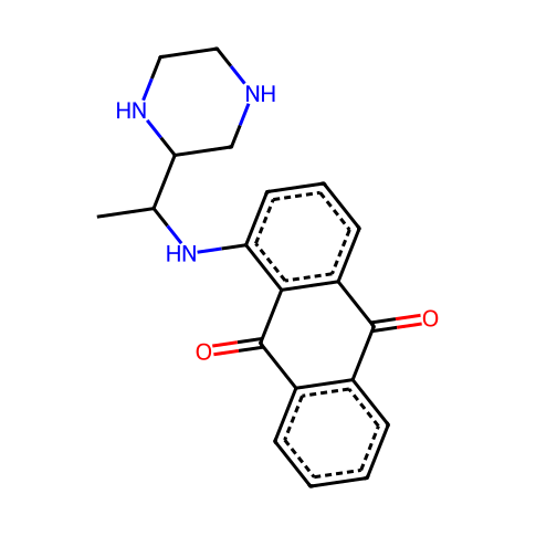 CC(Nc1cccc2c1C(=O)c1ccccc1C2=O)C1CNCCN1